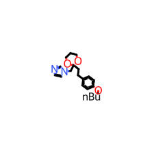 CCCCOc1ccc(CCC2(Cn3ccnc3)OCCCO2)cc1